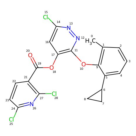 Cc1cccc(C2CC2)c1Oc1nnc(Cl)cc1OC(=O)c1ccc(Cl)nc1Cl